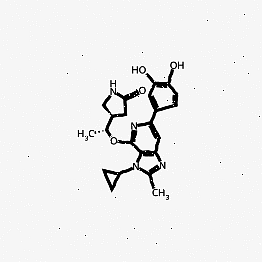 Cc1nc2cc(-c3ccc(O)c(O)c3)nc(O[C@H](C)[C@H]3CNC(=O)C3)c2n1C1CC1